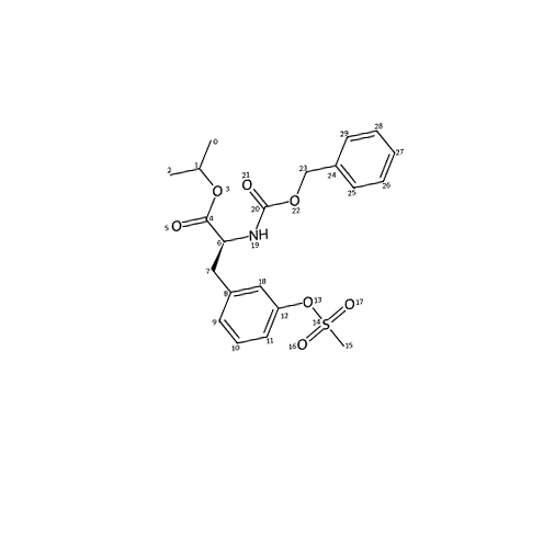 CC(C)OC(=O)[C@H](Cc1cccc(OS(C)(=O)=O)c1)NC(=O)OCc1ccccc1